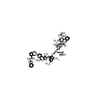 Cc1c(-c2ccc(N3CCc4cccc(C(=O)Nc5nc6ccccc6s5)c4C3)nc2C(=O)O)cnn1CC12CC3(C)CC(C)(C1)CC(OCCN(CCC(CNC(=O)OCc1ccccc1C(CNC(N)=O)C[C@H](N)C(N)=O)S(=O)(=O)O)CCS(=O)(=O)O)(C3)C2